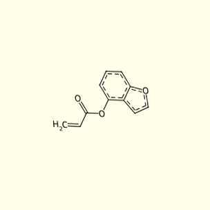 C=CC(=O)Oc1cccc2occc12